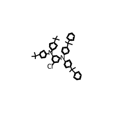 CC(C)(C)c1ccc(N(c2ccc(C(C)(C)C)cc2)c2cc(Cl)cc(N(c3ccc(C(C)(C)c4ccccc4)cc3)c3ccc(C(C)(C)c4ccccc4)cc3)c2)cc1